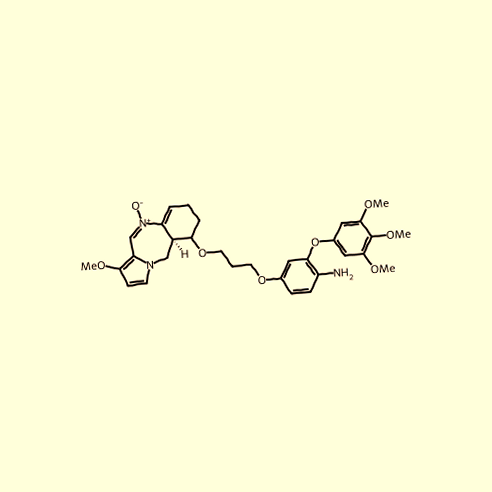 COc1cc(Oc2cc(OCCCOC3CCC=C4[C@@H]3Cn3ccc(OC)c3C=[N+]4[O-])ccc2N)cc(OC)c1OC